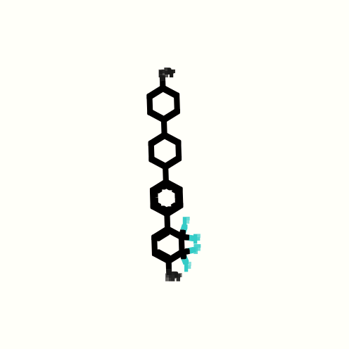 CCCC1=CC=C(c2ccc(C3CCC(C4CCC(CCC)CC4)CC3)cc2)C(F)(F)C1(F)F